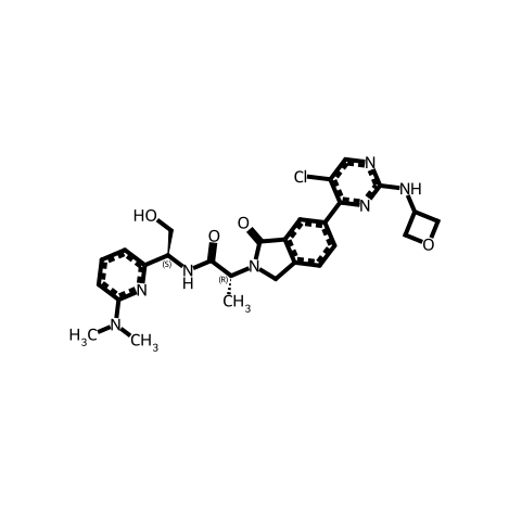 C[C@H](C(=O)N[C@H](CO)c1cccc(N(C)C)n1)N1Cc2ccc(-c3nc(NC4COC4)ncc3Cl)cc2C1=O